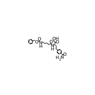 NC(=O)c1ccc(CC[C@@H](NC(=O)CCCCNC(=O)OCc2ccccc2)C(=O)CO)cc1